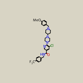 COc1ccc(CN2CCC(N3CCN(c4ncc(C(=O)NCc5ccc(C(F)(F)F)cc5)cc4Cl)CC3)CC2)cc1